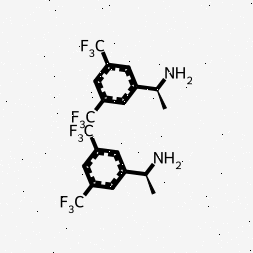 C[C@H](N)c1cc(C(F)(F)F)cc(C(F)(F)F)c1.C[C@H](N)c1cc(C(F)(F)F)cc(C(F)(F)F)c1